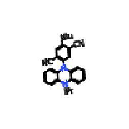 CC(C)N1c2ccccc2N(c2cc(C#N)c(C(C)(C)C)cc2C#N)c2ccccc21